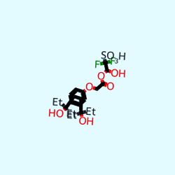 CCC(O)(CC)C1c2ccc(c(OCC(=O)OC(O)C(F)(F)S(=O)(=O)O)c2)C1C(O)(CC)CC